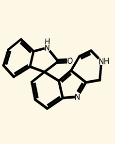 O=C1Nc2ccccc2C12C=CC=C1N=C3CNC=CC3=C12